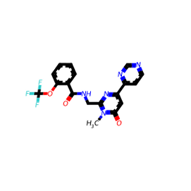 Cn1c(CNC(=O)c2ccccc2OC(F)(F)F)nc(-c2ccncn2)cc1=O